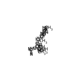 Cc1c(COc2cc(OCc3cncc(C#N)c3)c(CN(C)C(C)(CO)CO)cc2Cl)cccc1-c1ccc2oc(N3C[C@@H]4C[C@H]3CN4C)nc2c1